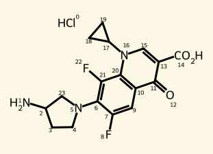 Cl.NC1CCN(c2c(F)cc3c(=O)c(C(=O)O)cn(C4CC4)c3c2F)C1